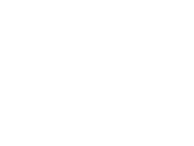 c1cc(C2CCCCC2)ccc1OCCCCOc1ccc(C2CCCCC2)cc1